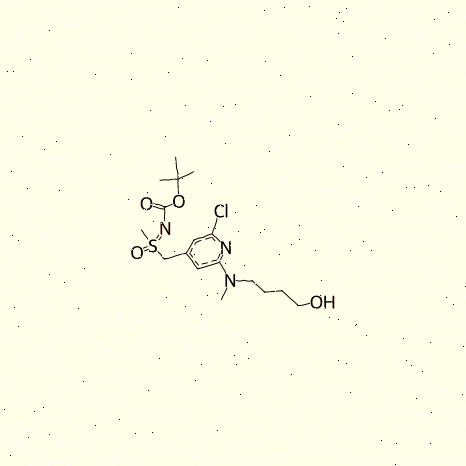 CN(CCCCO)c1cc(CS(C)(=O)=NC(=O)OC(C)(C)C)cc(Cl)n1